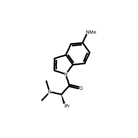 CNc1ccc2c(ccn2C(=O)[C@@H](C(C)C)N(C)C)c1